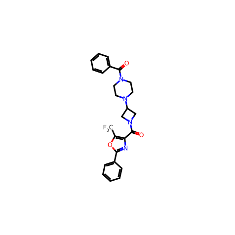 O=C(c1ccccc1)N1CCN(C2CN(C(=O)c3nc(-c4ccccc4)oc3C(F)(F)F)C2)CC1